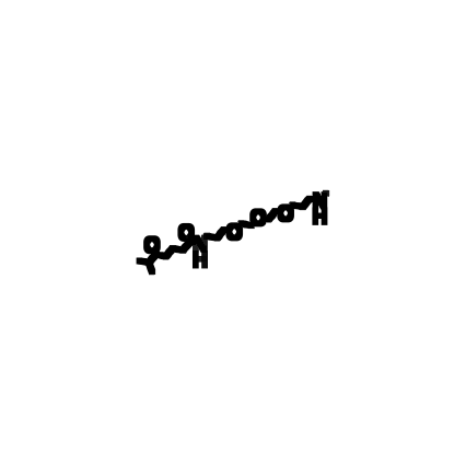 CNCCCOCCOCCOCCCNC(=O)CCCC(=O)C(C)C